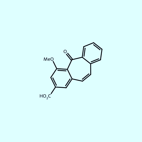 COc1cc(C(=O)O)cc2ccc3ccccc3c(=O)c12